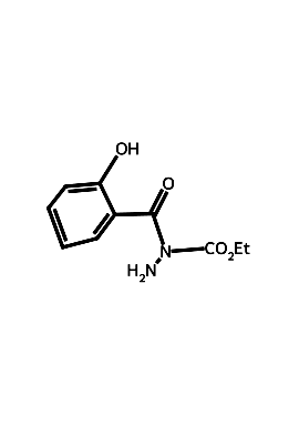 CCOC(=O)N(N)C(=O)c1ccccc1O